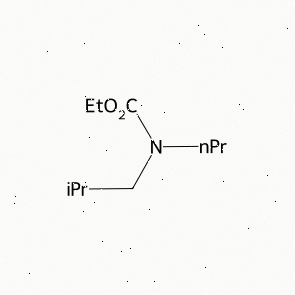 CCCN(CC(C)C)C(=O)OCC